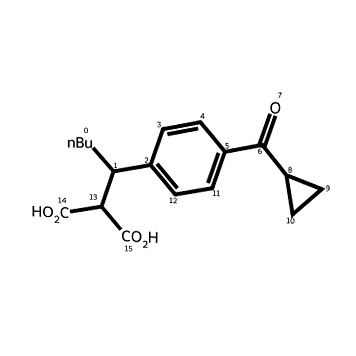 CCCCC(c1ccc(C(=O)C2CC2)cc1)C(C(=O)O)C(=O)O